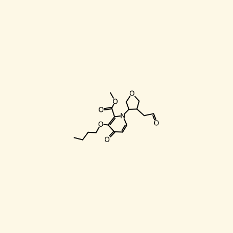 CCCCOc1c(C(=O)OC)n(C2COCC2CC=O)ccc1=O